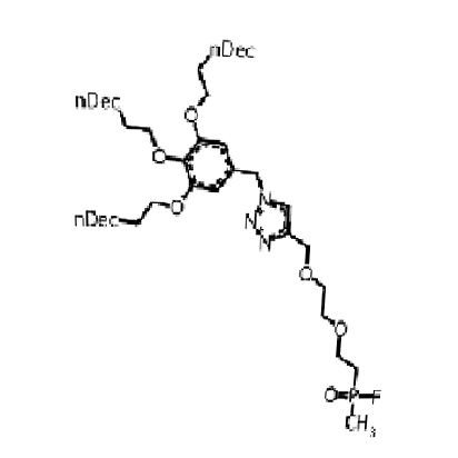 CCCCCCCCCCCCOc1cc(Cn2cc(COCCOCCP(C)(=O)F)nn2)cc(OCCCCCCCCCCCC)c1OCCCCCCCCCCCC